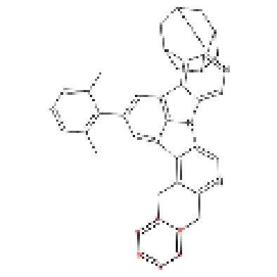 Cc1cccc(C)c1-c1cc2c3c4c(ncc3n3c5cnc6c(c5c(c1)c23)C1c2ccccc2C6c2ccccc21)C1CC2CC(C1)CC4C2